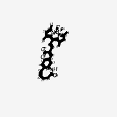 CC1=CC(C)=[N+]2C1=C(/C=C/c1cc3cc4c(cc3oc1=O)C#CCCC(=O)N4)c1c(C)cc(C)n1[B-]2(F)F